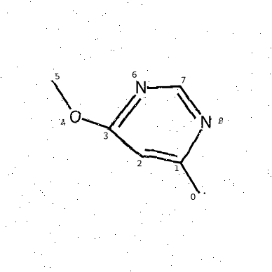 [CH2]c1cc(OC)ncn1